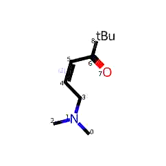 CN(C)C/C=C\C(=O)C(C)(C)C